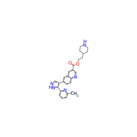 Cc1cccc(-c2[nH]ncc2-c2ccc3ncc(C(=O)OCCC4CCNCC4)cc3c2)n1